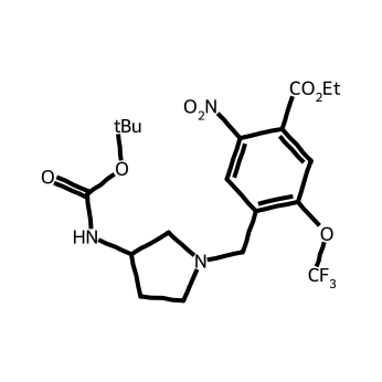 CCOC(=O)c1cc(OC(F)(F)F)c(CN2CCC(NC(=O)OC(C)(C)C)C2)cc1[N+](=O)[O-]